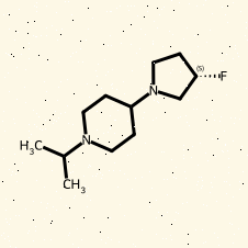 CC(C)N1CCC(N2CC[C@H](F)C2)CC1